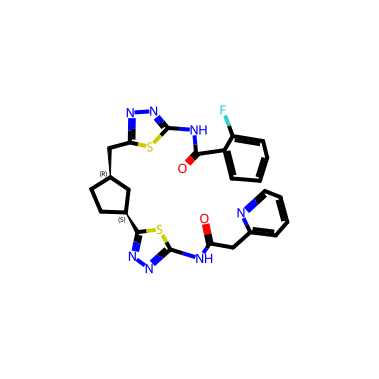 O=C(Cc1ccccn1)Nc1nnc([C@H]2CC[C@@H](Cc3nnc(NC(=O)c4ccccc4F)s3)C2)s1